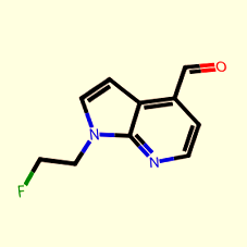 O=Cc1ccnc2c1ccn2CCF